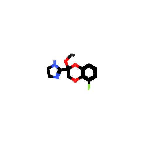 CC(C)OC1(C2=NCCN2)COc2c(F)cccc2O1